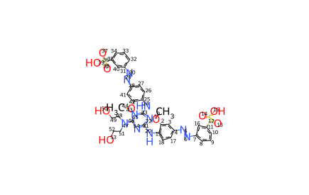 COc1cc(N=Nc2cccc(S(=O)(=O)O)c2)ccc1Nc1nc(Nc2ccc(N=Nc3cccc(S(=O)(=O)O)c3)cc2OC)nc(N(CCO)CCO)n1